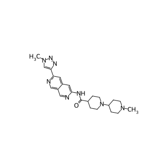 CN1CCC(N2CCC(C(=O)Nc3cc4cc(-c5cn(C)nn5)ncc4cn3)CC2)CC1